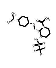 CC(=O)N1CCC[C@H](NS(=O)(=O)C(F)(F)F)[C@@H]1CO[C@H]1CC[C@@H](C(C)C)CC1